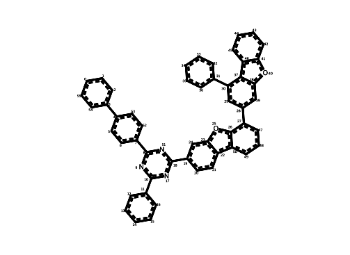 c1ccc(-c2ccc(-c3nc(-c4ccccc4)nc(-c4ccc5c(c4)oc4c(-c6cc(-c7ccccc7)c7c(c6)oc6ccccc67)cccc45)n3)cc2)cc1